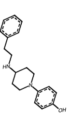 Oc1ccc(N2CCC(NCCc3ccccc3)CC2)cc1